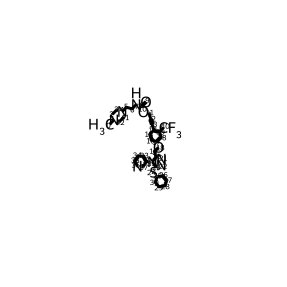 CN1CCN(CCNC(=O)OCC#Cc2ccc(OCc3nnc(SC4C=CCCC4)n3-c3cccnc3)cc2C(F)(F)F)CC1